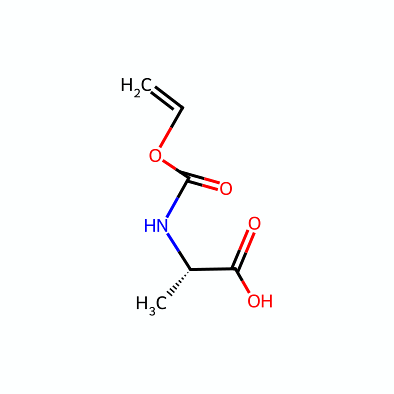 C=COC(=O)N[C@@H](C)C(=O)O